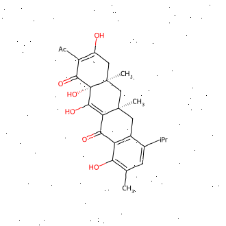 CC(=O)C1=C(O)C[C@@]2(C)C[C@@]3(C)Cc4c(C(C)C)cc(C)c(O)c4C(=O)C3=C(O)[C@@]2(O)C1=O